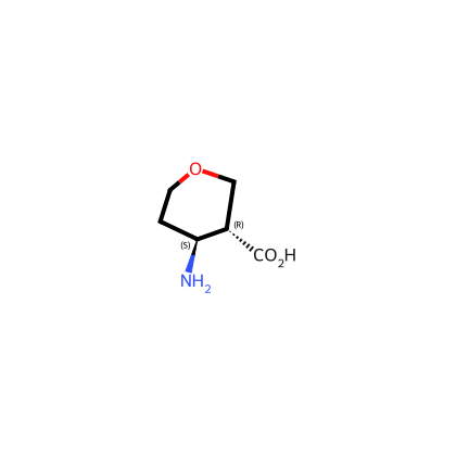 N[C@H]1CCOC[C@@H]1C(=O)O